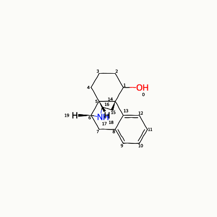 OC1CCC[C@H]2[C@H]3Cc4ccccc4[C@@]12CCN3